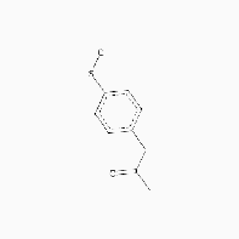 CC(=O)Cc1ccc(SCl)cc1